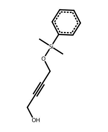 C[Si](C)(OCC#CCO)c1ccccc1